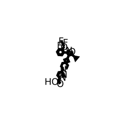 O=C(O)c1ccc(N2CCC3(C=C(c4c(-c5ccccc5OC(F)(F)F)noc4C4CC4)C3)CC2)nn1